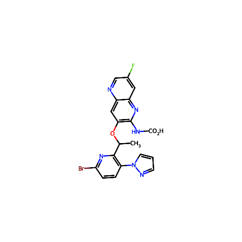 CC(Oc1cc2ncc(F)cc2nc1NC(=O)O)c1nc(Br)ccc1-n1cccn1